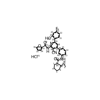 CN(C)[C@H]1CCCC[C@H]1C(=O)Nc1cccc(-c2cc(-c3ccc(F)cc3O)nc(NC(=O)c3ccco3)c2C#N)c1.Cl